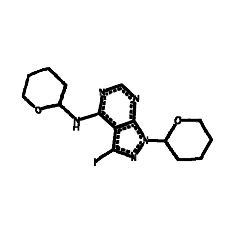 Ic1nn(C2CCCCO2)c2ncnc(NC3CCCCO3)c12